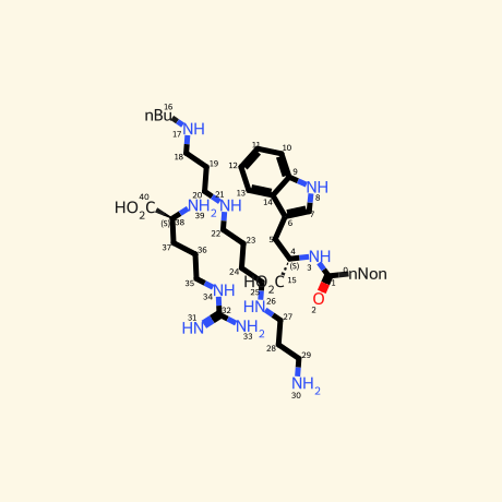 CCCCCCCCCC(=O)N[C@@H](Cc1c[nH]c2ccccc12)C(=O)O.CCCCNCCCNCCCCNCCCN.N=C(N)NCCC[C@H](N)C(=O)O